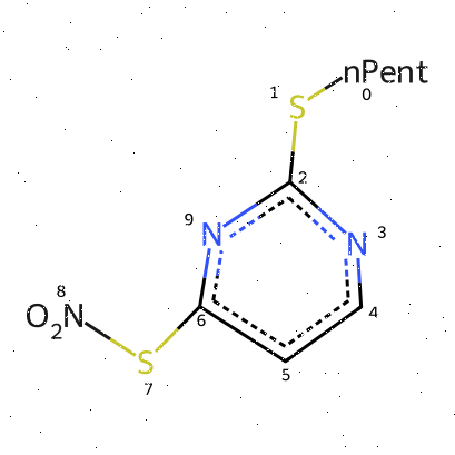 CCCCCSc1nccc(S[N+](=O)[O-])n1